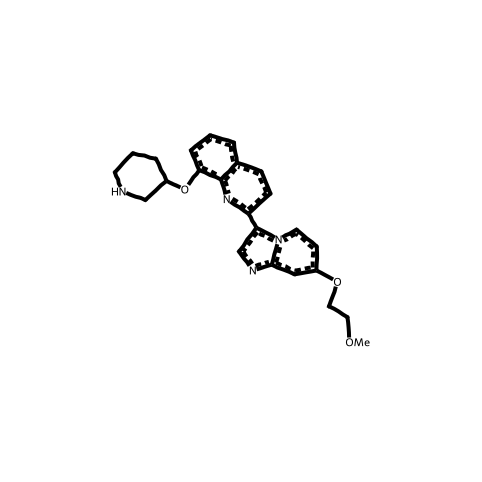 COCCOc1ccn2c(-c3ccc4cccc(OC5CCCNC5)c4n3)cnc2c1